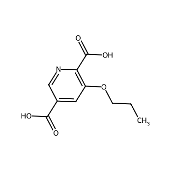 CCCOc1cc(C(=O)O)cnc1C(=O)O